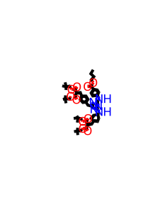 CCCCOC(=O)c1ccc(Nc2nc(Cc3ccc(C=C(C(=O)OCC(C)(C)C)C(=O)OCC(C)(C)C)cc3)nc(NC3C=CC(C=C(C(=O)OCC(C)(C)C)C(=O)OCC(C)(C)C)=CC3)n2)cc1